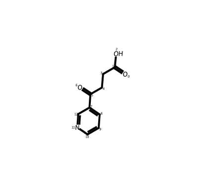 O=C(O)CCC(=O)c1cccnc1